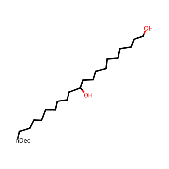 CCCCCCCCCCCCCCCCCCCC(O)CCCCCCCCCCO